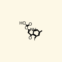 Cc1cc(I)c2c(=O)cc(OC(=O)O)[nH]c2c1